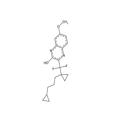 COc1ccc2nc(C(F)(F)C3(CCCC4CC4)CC3)c(O)nc2c1